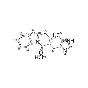 Cc1[nH]cnc1CC1CCc2cc3ccccc3n2C1=O.Cl